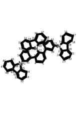 c1cc(-c2cccc(-c3cccc(-n4c5ccccc5c5ccccc54)c3)c2-n2c3ccccc3c3ccccc32)cc(-n2c3ccccc3c3ccccc32)c1